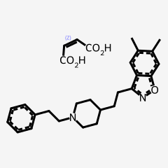 Cc1cc2onc(CCC3CCN(CCc4ccccc4)CC3)c2cc1C.O=C(O)/C=C\C(=O)O